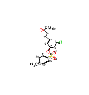 COC(=O)CCCCC(CCCl)OS(=O)(=O)c1ccc(C)cc1